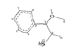 COC(c1ccccc1)C(C)S